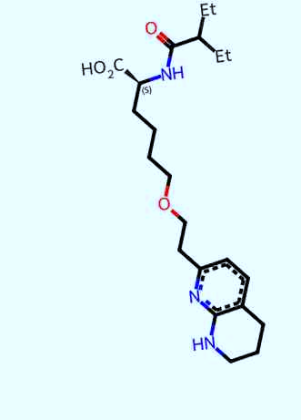 CCC(CC)C(=O)N[C@@H](CCCCOCCc1ccc2c(n1)NCCC2)C(=O)O